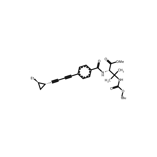 CC[C@@H]1C[C@H]1C#CC#Cc1ccc(C(=O)N[C@H](C(=O)OC)C(C)(C)NC(=O)OC(C)(C)C)cc1